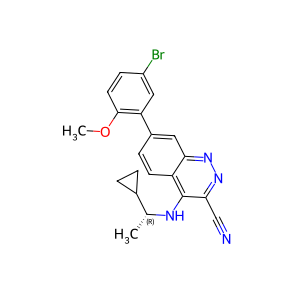 COc1ccc(Br)cc1-c1ccc2c(N[C@H](C)C3CC3)c(C#N)nnc2c1